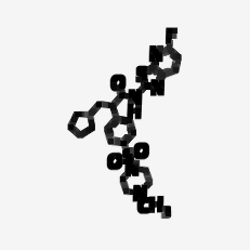 CN1CCN(S(=O)(=O)c2ccc(C(CC3CCCC3)C(=O)Nc3nc4ccc(F)nc4s3)cc2)CC1